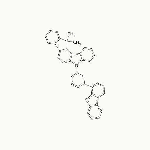 CC1(C)c2ccccc2-c2ccc3c(c21)c1ccccc1n3-c1cccc(-c2cccc3c2sc2ccccc23)c1